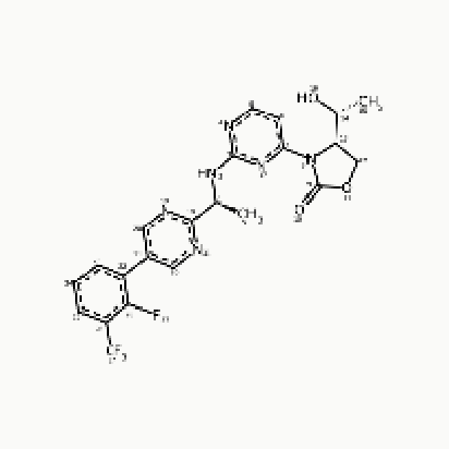 C[C@H](Nc1nccc(N2C(=O)OCC2[C@@H](C)O)n1)c1ncc(-c2cccc(C(F)(F)F)c2F)cn1